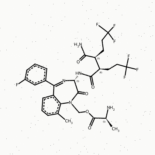 Cc1cccc2c1N(COC(=O)[C@H](C)N)C(=O)[C@@H](NC(=O)[C@H](CCC(F)(F)F)[C@H](CCC(F)(F)F)C(N)=O)N=C2c1cccc(F)c1